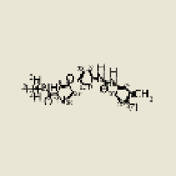 [2H]C([2H])([2H])NC(=O)c1cc(Oc2ccc(NC(=O)Nc3ccc(Cl)c(C)c3)cc2)ccn1